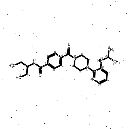 CCC(CO)NC(=O)c1ccc(C(=O)N2CCN(c3ncccc3NC(C)C)CC2)cc1